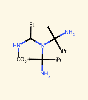 CCC(NC(=O)O)N(C(C)(N)C(C)C)C(C)(N)C(C)C